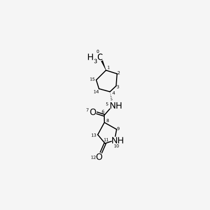 C[C@H]1CC[C@H](NC(=O)C2CNC(=O)C2)CC1